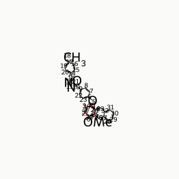 COc1ccc(Oc2ccc(-c3nnc(-c4ccc(C)cc4)o3)cc2)c2c1C1c3ccccc3C2c2ccccc21